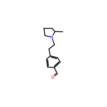 CC1CCCN1CCc1ccc(C=O)cc1